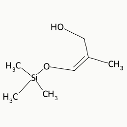 CC(=CO[Si](C)(C)C)CO